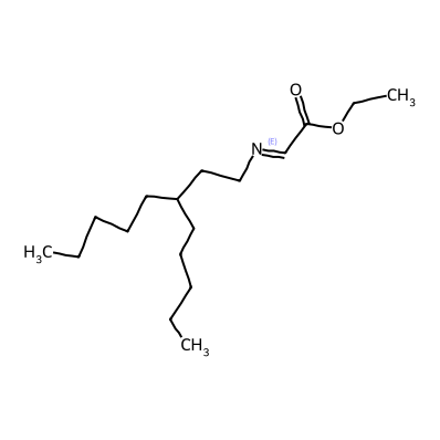 CCCCCC(CCCCC)CC/N=C/C(=O)OCC